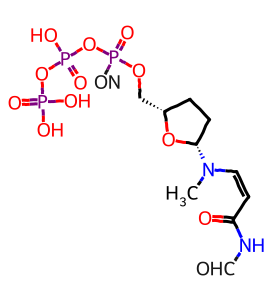 CN(/C=C\C(=O)NC=O)[C@H]1CC[C@@H](COP(=O)(N=O)OP(=O)(O)OP(=O)(O)O)O1